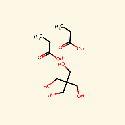 CCC(=O)O.CCC(=O)O.OCC(CO)(CO)CO